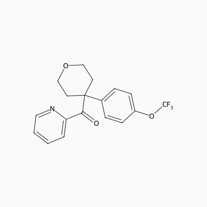 O=C(c1ccccn1)C1(c2ccc(OC(F)(F)F)cc2)CCOCC1